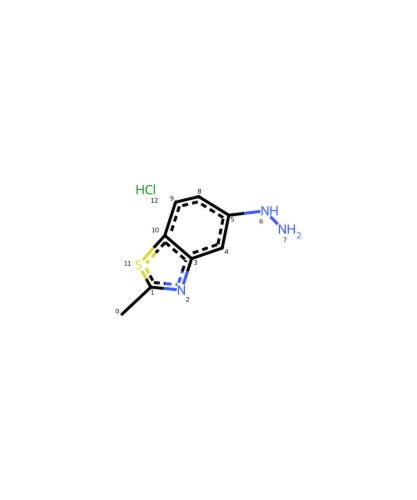 Cc1nc2cc(NN)ccc2s1.Cl